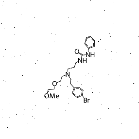 COCCOCCN(CCCNC(=O)Nc1ccccc1)CCc1ccc(Br)cc1